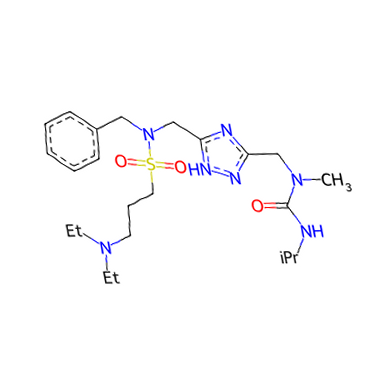 CCN(CC)CCCS(=O)(=O)N(Cc1ccccc1)Cc1nc(CN(C)C(=O)NC(C)C)n[nH]1